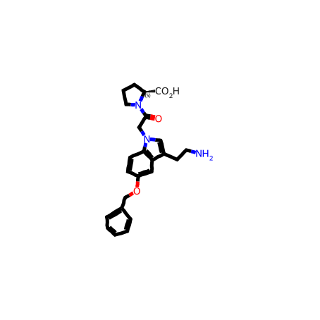 NCCc1cn(CC(=O)N2CCC[C@H]2C(=O)O)c2ccc(OCc3ccccc3)cc12